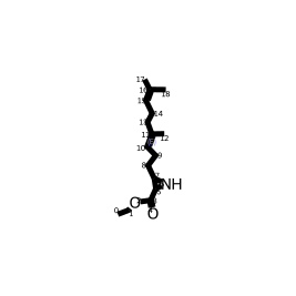 CCOC(=O)C1NC1CC/C=C(\C)CCC=C(C)C